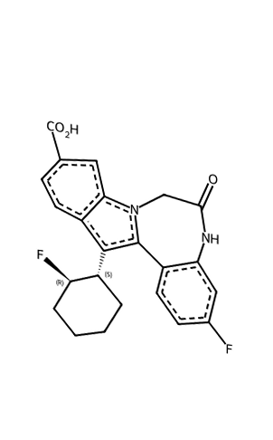 O=C1Cn2c(c([C@@H]3CCCC[C@H]3F)c3ccc(C(=O)O)cc32)-c2ccc(F)cc2N1